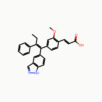 CCC(=C(c1ccc(C=CC(=O)O)c(OC)c1)c1ccc2[nH]ncc2c1)c1ccccc1